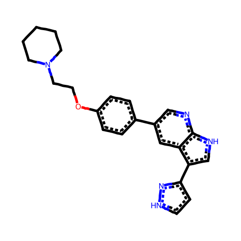 c1cc(-c2c[nH]c3ncc(-c4ccc(OCCN5CCCCC5)cc4)cc23)n[nH]1